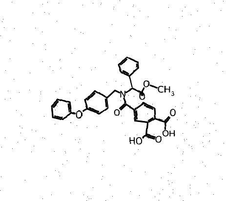 COC(=O)C(c1ccccc1)N(Cc1ccc(Oc2ccccc2)cc1)C(=O)c1ccc(C(=O)O)c(C(=O)O)c1